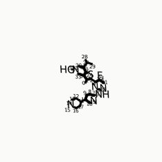 Cc1c(-c2nc(Nc3ccc(C4CCN(C)CC4)cn3)ncc2F)sc2c(C(C)C)c[n+](O)cc12